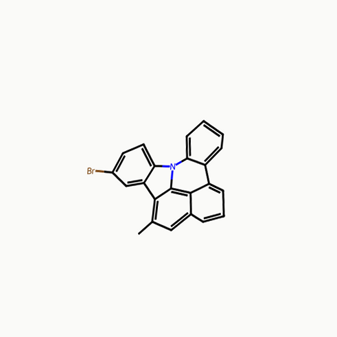 Cc1cc2cccc3c4ccccc4n4c5ccc(Br)cc5c1c4c23